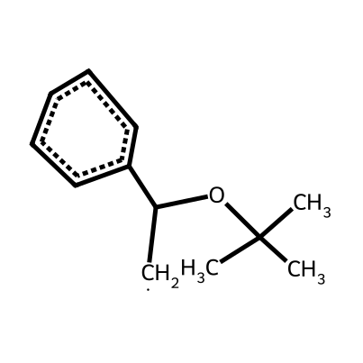 [CH2]C(OC(C)(C)C)c1ccccc1